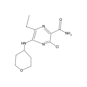 CCc1nc(C(N)=O)c(Cl)nc1NC1CCOCC1